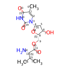 Cc1cn([C@@H]2CC(O)[C@H](COC(=O)[C@@H](N)C(C)C)O2)c(=O)[nH]c1=O